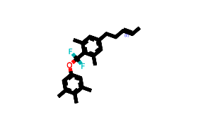 C/C=C/CCc1cc(C)c(C(F)(F)Oc2cc(C)c(C)c(C)c2)c(C)c1